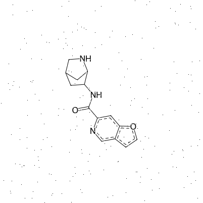 O=C(NC1CC2CNC1C2)c1cc2occc2cn1